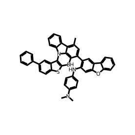 Cc1cc(-c2cc3c(cc2Nc2ccc(N(C)C)cc2)oc2ccccc23)c2c3c1c1ccccc1n3-c1c(sc3ccc(-c4ccccc4)cc13)B2